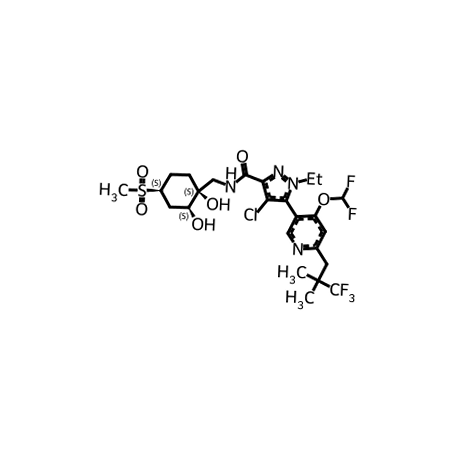 CCn1nc(C(=O)NC[C@@]2(O)CC[C@H](S(C)(=O)=O)C[C@@H]2O)c(Cl)c1-c1cnc(CC(C)(C)C(F)(F)F)cc1OC(F)F